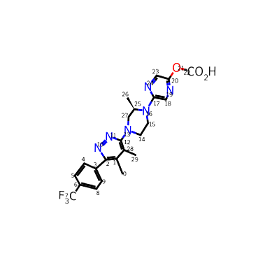 Cc1c(-c2ccc(C(F)(F)F)cc2)nnc(N2CCN(c3cnc(OC(=O)O)cn3)[C@H](C)C2)c1C